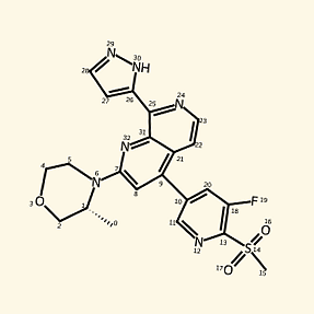 C[C@@H]1COCCN1c1cc(-c2cnc(S(C)(=O)=O)c(F)c2)c2ccnc(-c3ccn[nH]3)c2n1